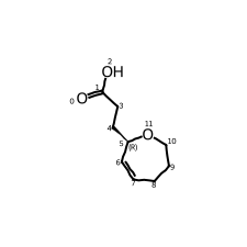 O=C(O)CC[C@@H]1C=CCCCO1